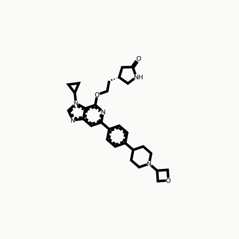 O=C1C[C@@H](CCOc2nc(-c3ccc(C4CCN(C5COC5)CC4)cc3)cc3ncn(C4CC4)c23)CN1